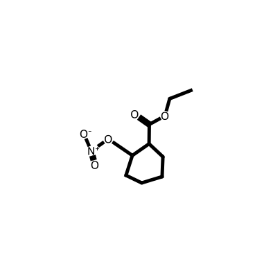 CCOC(=O)C1CCCCC1O[N+](=O)[O-]